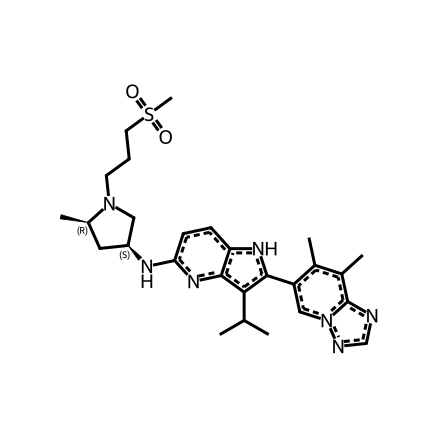 Cc1c(-c2[nH]c3ccc(N[C@H]4C[C@@H](C)N(CCCS(C)(=O)=O)C4)nc3c2C(C)C)cn2ncnc2c1C